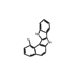 Clc1cccc2ccc3[nH]c4c5ccccc5[nH]c4c3c12